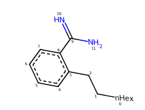 CCCCCCCCc1ccccc1C(=N)N